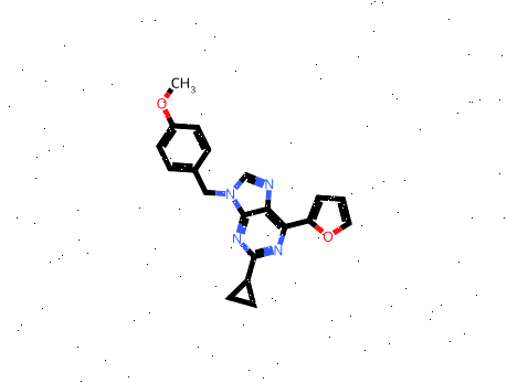 COc1ccc(Cn2cnc3c(-c4ccco4)nc(C4CC4)nc32)cc1